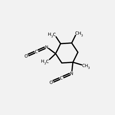 CC1CC(C)(N=C=O)CC(C)(N=C=O)C1C